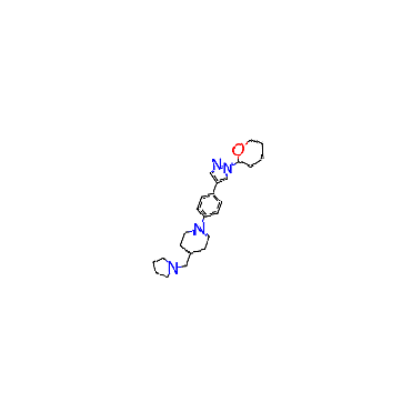 c1cc(N2CCC(CN3CCCC3)CC2)ccc1-c1cnn(C2CCCCO2)c1